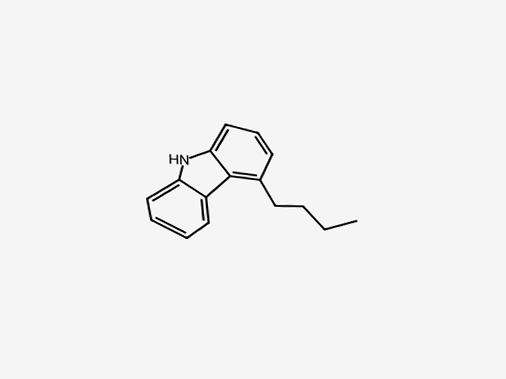 CCCCc1cccc2[nH]c3ccccc3c12